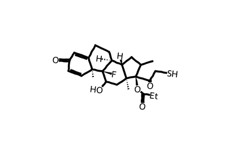 CCC(=O)O[C@]1(C(=O)CS)C(C)C[C@H]2[C@@H]3CCC4=CC(=O)C=C[C@]4(C)[C@@]3(F)C(O)C[C@@]21C